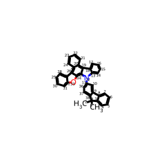 CC1(C)c2ccccc2-c2cc(-n3c4ccccc4c4c5ccccc5c5c6ccccc6oc5c43)ccc21